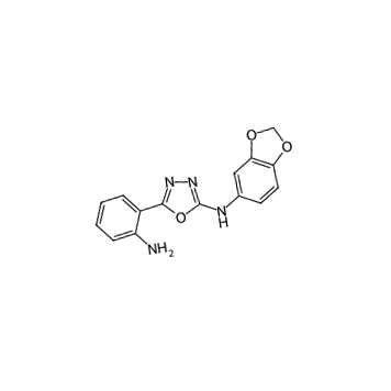 Nc1ccccc1-c1nnc(Nc2ccc3c(c2)OCO3)o1